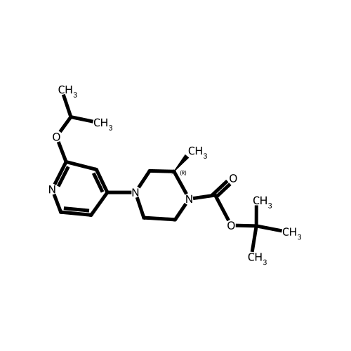 CC(C)Oc1cc(N2CCN(C(=O)OC(C)(C)C)[C@H](C)C2)ccn1